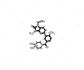 Cc1ccc(C(=O)N2CCS(O)(O)CC2)cc1-c1ccc2c(n1)n(C)c(=O)n2CC(C)(C)C